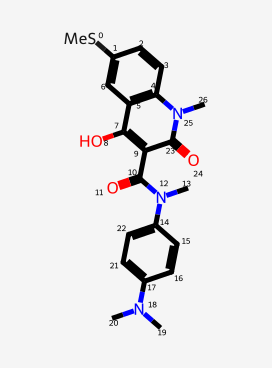 CSc1ccc2c(c1)c(O)c(C(=O)N(C)c1ccc(N(C)C)cc1)c(=O)n2C